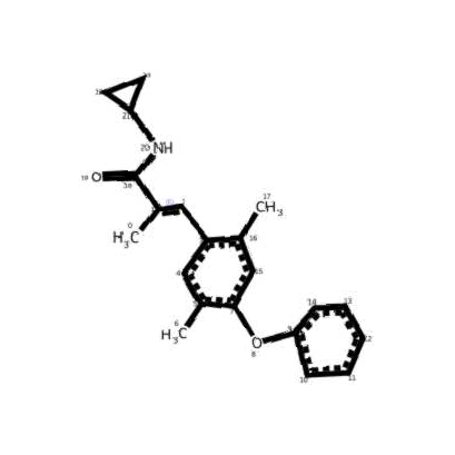 C/C(=C\c1cc(C)c(Oc2ccccc2)cc1C)C(=O)NC1CC1